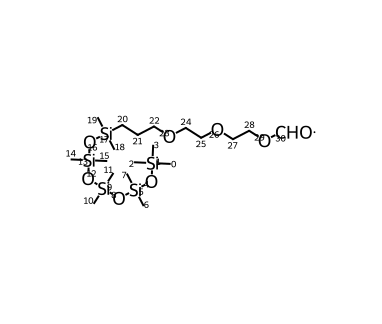 C[Si](C)(C)O[Si](C)(C)O[Si](C)(C)O[Si](C)(C)O[Si](C)(C)CCCOCCOCCO[C]=O